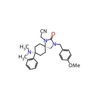 COc1ccc(CN2C[C@]3(CC[C@@](c4ccccc4)(N(C)C)CC3)N(CC#N)C2=O)cc1